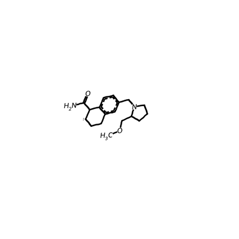 COCC1CCCN1Cc1ccc2c(c1)CC[C]C2C(N)=O